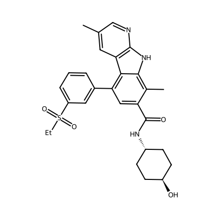 CCS(=O)(=O)c1cccc(-c2cc(C(=O)N[C@H]3CC[C@H](O)CC3)c(C)c3[nH]c4ncc(C)cc4c23)c1